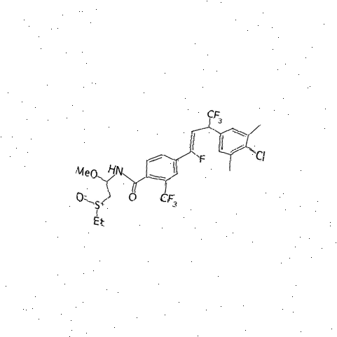 CC[S+]([O-])CC(NC(=O)c1ccc(/C(F)=C/C(c2cc(C)c(Cl)c(C)c2)C(F)(F)F)cc1C(F)(F)F)OC